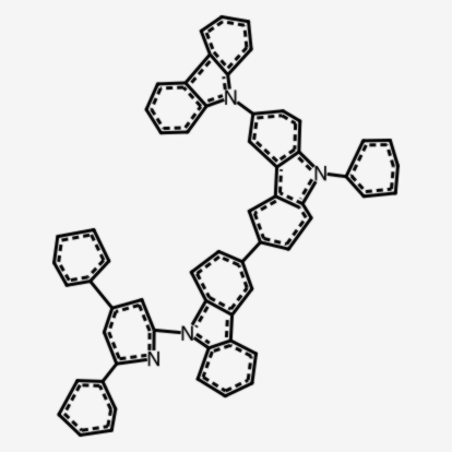 c1ccc(-c2cc(-c3ccccc3)nc(-n3c4ccccc4c4cc(-c5ccc6c(c5)c5cc(-n7c8ccccc8c8ccccc87)ccc5n6-c5ccccc5)ccc43)c2)cc1